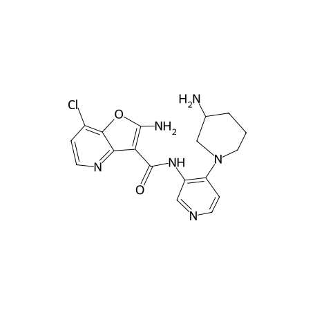 Nc1oc2c(Cl)ccnc2c1C(=O)Nc1cnccc1N1CCCC(N)C1